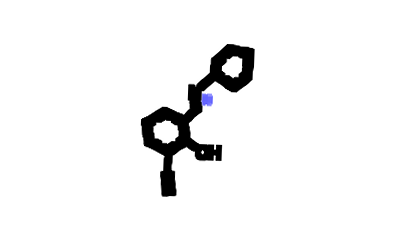 C#Cc1cccc(/C=N/c2ccccc2)c1O